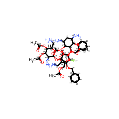 CC(=O)OCC1OC(OC2C(OC(C)=O)C(N)CC(N)C2OC2OC(CN)C(OCc3ccccc3)C(F)C2OCc2ccccc2)C(OC(C)=O)C1OC1OC(CN)C(OC(C)=O)C(OC(C)=O)C1N